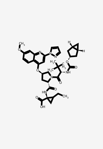 CCC1C[C@]1(NC(=O)[C@@H]1C[C@@H](Oc2cc(-n3cccn3)nc3cc(OC)ccc23)CN1C(=O)[C@@H](NC(=O)O[C@@H]1C[C@@H]2C[C@@H]2C1)C(C)(C)C)C(=O)O